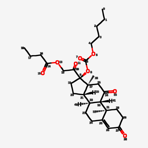 CCCCCOC(=O)O[C@]1(C(=O)COC(=O)CCC)CC[C@H]2[C@@H]3CCC4=CC(=O)CC[C@]4(C)[C@H]3C(=O)C[C@@]21C